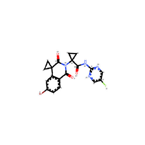 O=C1c2ccc(Br)cc2C2(CC2)C(=O)N1C1(C(=O)Nc2ncc(F)cn2)CC1